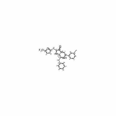 Cc1cccc(-c2cn3c(=O)c(Cc4ccc(C(F)(F)F)o4)nc-3c(Cc3ccccc3)[nH]2)c1